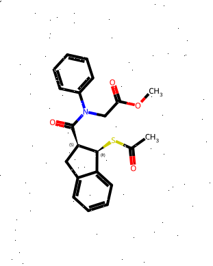 COC(=O)CN(C(=O)[C@@H]1Cc2ccccc2[C@@H]1SC(C)=O)c1ccccc1